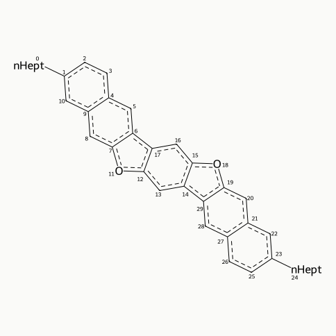 CCCCCCCc1ccc2cc3c(cc2c1)oc1cc2c(cc13)oc1cc3cc(CCCCCCC)ccc3cc12